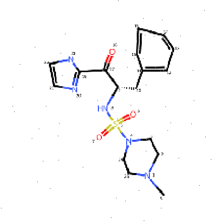 CN1CCN(S(=O)(=O)N[C@@H](Cc2ccccc2)C(=O)C2=NC=C[N]2)CC1